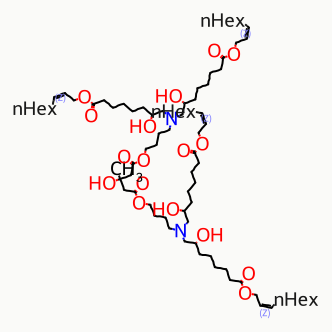 CCCCCC/C=C\COC(=O)CCCCCC(O)CN(CCCCOC(=O)CC(C)(O)CC(=O)OCCCCN(CC(O)CCCCCC(=O)OC/C=C\CCCCCC)CC(O)CCCCCC(=O)OC/C=C\CCCCCC)CC(O)CCCCCC(=O)OC/C=C\CCCCCC